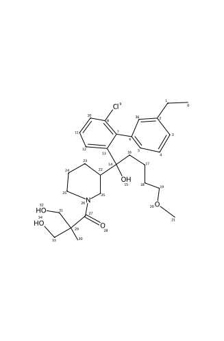 CCc1cccc(-c2c(Cl)cccc2C(O)(CCCCOC)C2CCCN(C(=O)C(C)(CO)CO)C2)c1